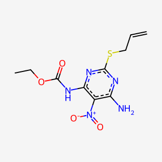 C=CCSc1nc(N)c([N+](=O)[O-])c(NC(=O)OCC)n1